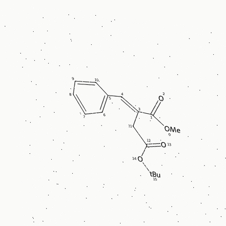 COC(=O)/C(=C/c1ccccc1)CC(=O)OC(C)(C)C